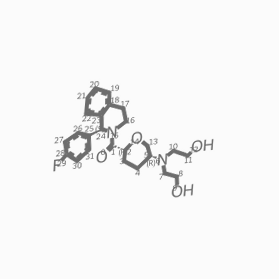 O=C([C@H]1CC[C@@H](N(CCO)CCO)CO1)N1CCc2ccccc2[C@@H]1c1ccc(F)cc1